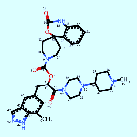 Cc1cc(C[C@@H](OC(=O)N2CCC3(CC2)OC(=O)Nc2ccccc23)C(=O)N2CCN(C3CCN(C)CC3)CC2)cc2cn[nH]c12